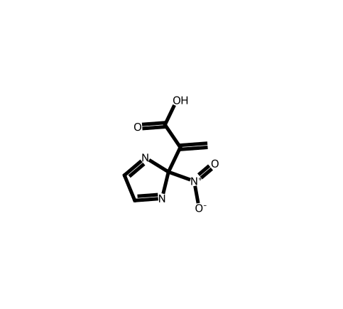 C=C(C(=O)O)C1([N+](=O)[O-])N=CC=N1